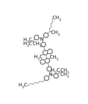 CCCCCCCCc1ccc(N(c2ccc(-c3cc(C)c(-c4c(C)cc(-c5ccc(N(c6ccc(C(C)CCCCCC)cc6)c6cccc(C(C)(C)C)c6)cc5)c5ccccc45)c4ccccc34)cc2)c2cccc(C(C)(C)C)c2)cc1